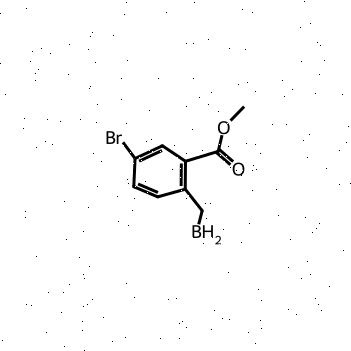 BCc1ccc(Br)cc1C(=O)OC